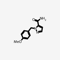 COc1ccc(Cn2nccc2C(N)=O)cc1